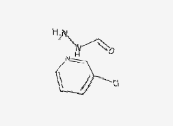 Clc1cccnc1.NNC=O